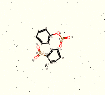 O=[S-](=O)Oc1ccccc1.O=[SH](=O)c1ccccc1.[K+]